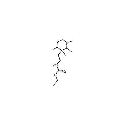 CCOC(=O)NCCC1(C)C(C)CCN(C)C1C